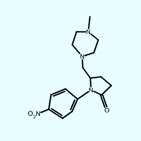 CN1CCN(CC2CCC(=O)N2c2ccc([N+](=O)[O-])cc2)CC1